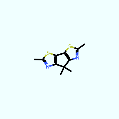 Cc1nc2c(s1)-c1sc(C)nc1C2(C)C